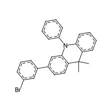 CC1(C)c2ccccc2N(c2ccccc2)c2cc(-c3cccc(Br)c3)ccc21